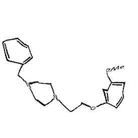 COc1cc[c]c(OCCN2CCN(Cc3ccccc3)CC2)c1